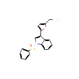 COCc1ccc(-c2cn(S(=O)(=O)c3ccccc3)c3ccccc23)o1